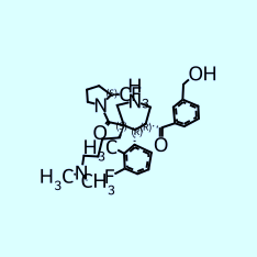 Cc1c(F)cccc1[C@H]1[C@@H](C(=O)c2cccc(CO)c2)CNC[C@@]1(CCCCN(C)C)C(=O)N1CCC[C@H]1C(F)(F)F